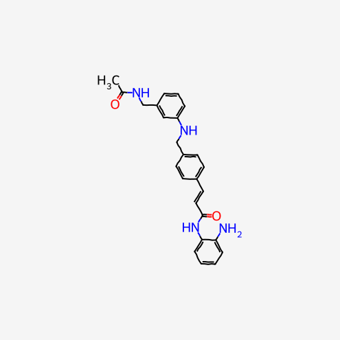 CC(=O)NCc1cccc(NCc2ccc(C=CC(=O)Nc3ccccc3N)cc2)c1